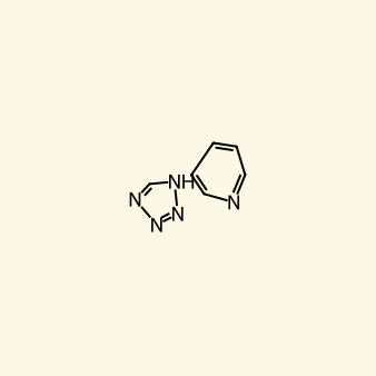 c1ccncc1.c1nnn[nH]1